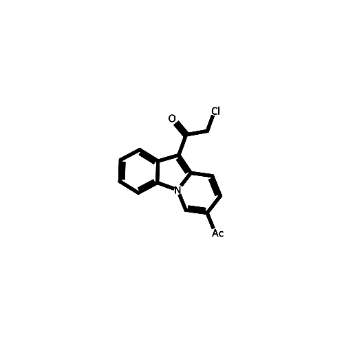 CC(=O)c1ccc2c(C(=O)CCl)c3ccccc3n2c1